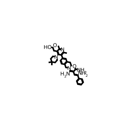 Cc1nc(C)c(-c2ccc3c(c2)CCN(/C(N)=C(/C=C(\N)c2ccccc2)C(N)=O)C3)c(N2CCC(C)(C)CC2)c1CC(=O)O